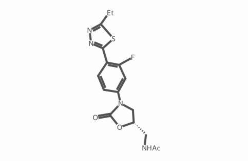 CCc1nnc(-c2ccc(N3C[C@H](CNC(C)=O)OC3=O)cc2F)s1